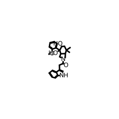 COc1ccccc1C1(O)C(O)CC(C)(C)C2CN(C(=O)Cc3c[nH]c4ccccc34)CC21